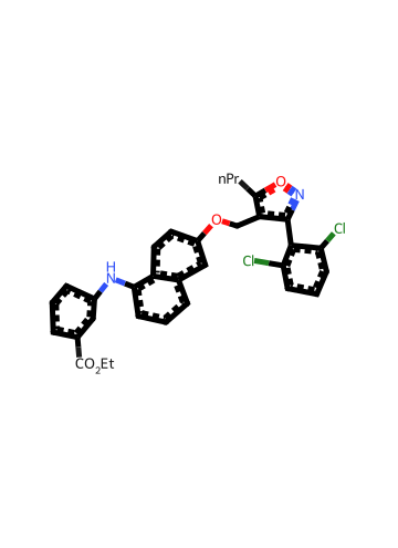 CCCc1onc(-c2c(Cl)cccc2Cl)c1COc1ccc2c(Nc3cccc(C(=O)OCC)c3)cccc2c1